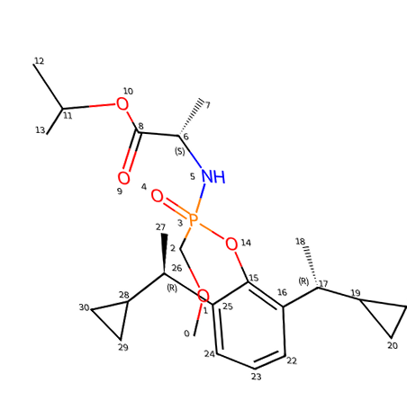 COCP(=O)(N[C@@H](C)C(=O)OC(C)C)Oc1c([C@H](C)C2CC2)cccc1[C@H](C)C1CC1